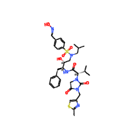 Cc1nc(CN2C(=O)CN([C@H](C(=O)N[C@@H](Cc3ccccc3)[C@H](O)CN(CC(C)C)S(=O)(=O)c3ccc(C=NO)cc3)C(C)C)C2=O)cs1